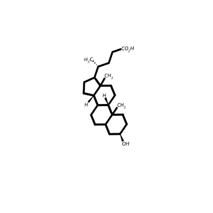 C[C@H](CCC(=O)O)C1CC[C@H]2C3CCC4C[C@H](O)CCC4(C)[C@H]3CCC12C